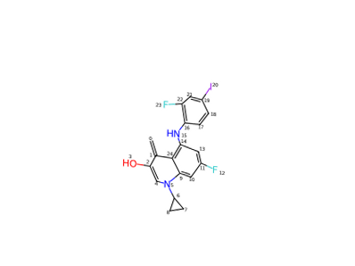 C=C1C(O)=CN(C2CC2)c2cc(F)cc(Nc3ccc(I)cc3F)c21